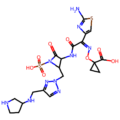 Nc1nc(/C(=N/OC2(C(=O)O)CC2)C(=O)NC2C(=O)N(S(=O)(=O)O)C2Cn2ncc(CNC3CCNC3)n2)cs1